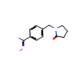 N/C(=N\O)c1ccc(CN2CCCC2=O)cc1